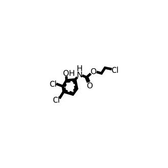 O=C(Nc1ccc(Cl)c(Cl)c1O)OCCCl